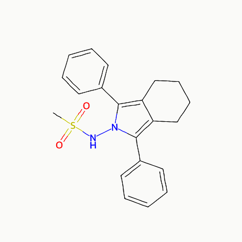 CS(=O)(=O)Nn1c(-c2ccccc2)c2c(c1-c1ccccc1)CCCC2